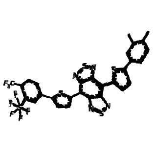 Cc1ccc(-c2ccc(-c3c4c(c(-c5ccc(-c6ccc(C(F)(F)F)c(S(F)(F)(F)(F)F)c6)s5)c5nsnc35)N=S=N4)s2)cc1C